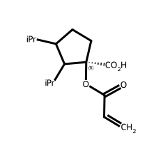 C=CC(=O)O[C@]1(C(=O)O)CCC(C(C)C)C1C(C)C